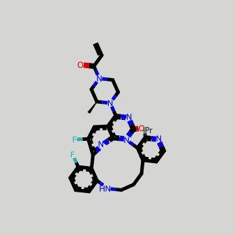 C=CC(=O)N1CCN(c2nc(=O)n3c4nc(c(F)cc24)-c2c(F)cccc2NCCCc2ccnc(C(C)C)c2-3)[C@@H](C)C1